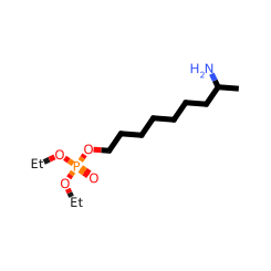 CCOP(=O)(OCC)OCCCCCCCC(C)N